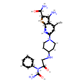 CCCc1cc(N2CCC(NCC(=O)N(C(N)=O)c3ccccc3)CC2)nc2sc(C(N)=O)c(N)c12